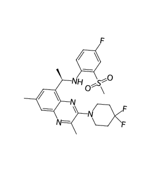 Cc1cc([C@@H](C)Nc2ccc(F)cc2S(C)(=O)=O)c2nc(N3CCC(F)(F)CC3)c(C)nc2c1